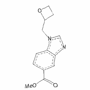 COC(=O)c1ccc2c(c1)ncn2CC1CCO1